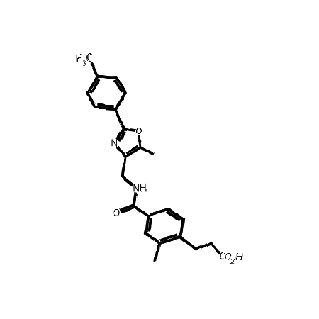 Cc1cc(C(=O)NCc2nc(-c3ccc(C(F)(F)F)cc3)oc2C)ccc1CCC(=O)O